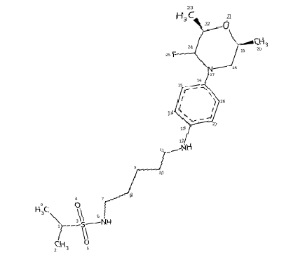 CC(C)S(=O)(=O)NCCCCCNc1ccc(N2C[C@H](C)O[C@H](C)C2F)cc1